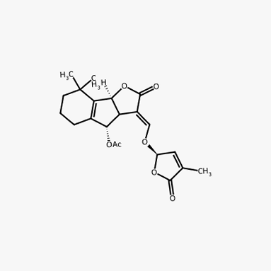 CC(=O)O[C@@H]1C2=C([C@H]3OC(=O)/C(=C/O[C@H]4C=C(C)C(=O)O4)C13)C(C)(C)CCC2